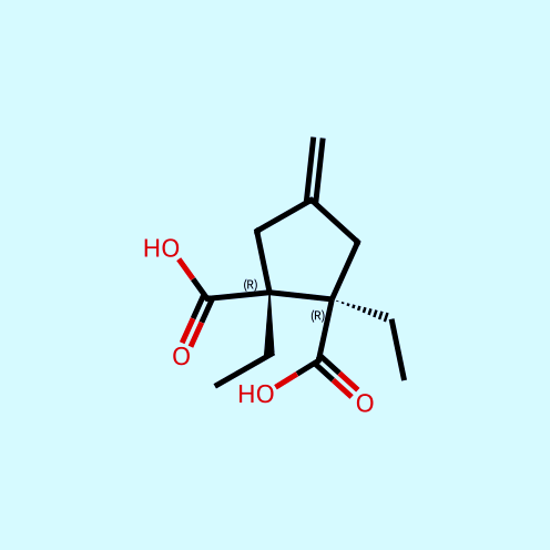 C=C1C[C@@](CC)(C(=O)O)[C@](CC)(C(=O)O)C1